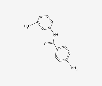 Cc1cccc(NC(=O)c2ccc(N)cc2)c1